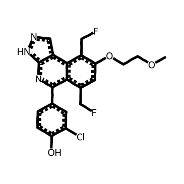 COCCOc1cc(CF)c2c(-c3ccc(O)c(Cl)c3)nc3[nH]ncc3c2c1CF